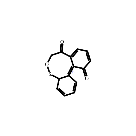 O=C1COSC2C=CC=C/C2=C2\C(=O)C=CC=C12